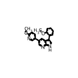 COc1ccc(-c2cnc3[nH]cc(-c4ccccc4OC)c3c2)cn1